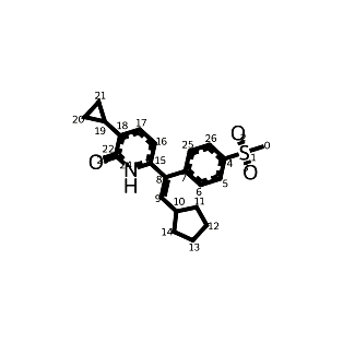 CS(=O)(=O)c1ccc(/C(=C\C2CCCC2)c2ccc(C3CC3)c(=O)[nH]2)cc1